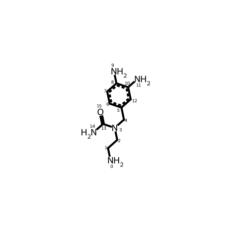 NCCN(Cc1ccc(N)c(N)c1)C(N)=O